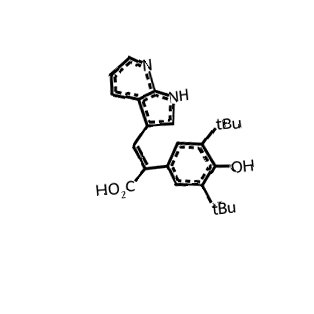 CC(C)(C)c1cc(C(=Cc2c[nH]c3ncccc23)C(=O)O)cc(C(C)(C)C)c1O